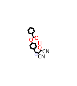 N#C/C(=C/c1ccc(OC(=O)c2ccccc2)cc1)C(O)C#N